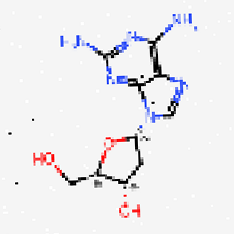 Nc1nc(N)c2ncn([C@@H]3C[C@H](O)[C@@H](CO)O3)c2n1